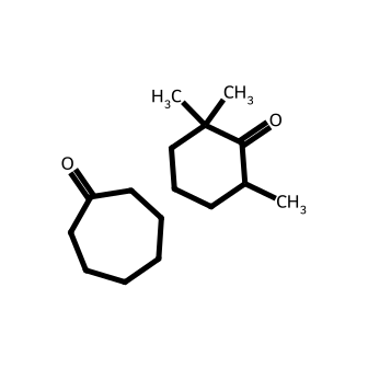 CC1CCCC(C)(C)C1=O.O=C1CCCCCC1